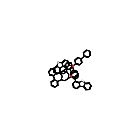 c1ccc(-c2ccc(N(c3ccc(-c4cccc5c4oc4ccccc45)cc3)c3ccc4oc5cccc6c5c4c3C34CC5CC7CC(c8ccccc8-c8ccccc87)(C3c3ccccc3-c3ccccc35)C64)cc2)cc1